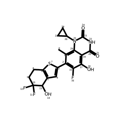 Cc1c(-c2cc3c(s2)CCC(F)(F)C3O)c(F)c(O)c2c(=O)[nH]c(=O)n(C3CC3)c12